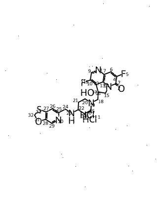 Cl.Cl.O=c1c(F)cc2ncc(F)c3c2n1C[C@@]3(O)CN1CCC(NCc2cc3c(cn2)OCS3)CC1